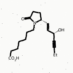 CCC#C[C@@H](O)C=C[C@H]1CCC(=O)N1CCCCCCC(=O)O